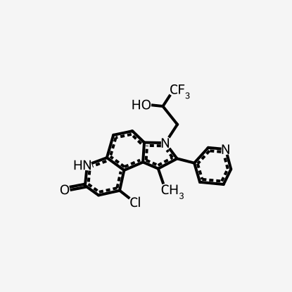 Cc1c(-c2cccnc2)n(CC(O)C(F)(F)F)c2ccc3[nH]c(=O)cc(Cl)c3c12